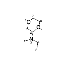 CCN(C)C1COCCO1